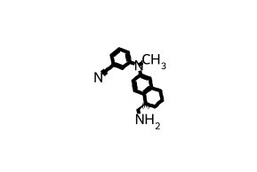 CN(c1cccc(C#N)c1)c1ccc2c(c1)CCC[C@H]2CN